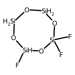 F[SiH]1O[SiH2]O[SiH2]O[Si](F)(F)O1